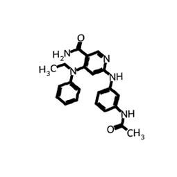 CCN(c1ccccc1)c1cc(Nc2cccc(NC(C)=O)c2)ncc1C(N)=O